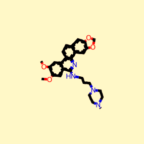 COc1cc2c(NCCCN3CCN(C)CC3)nc3c4cc5c(cc4ccc3c2cc1OC)OCO5